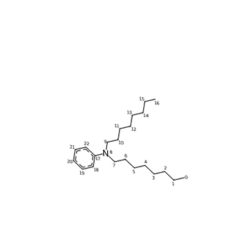 CCCCCCCCN(CCCCCCCC)c1ccccc1